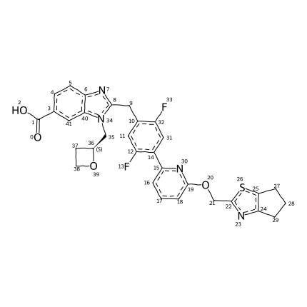 O=C(O)c1ccc2nc(Cc3cc(F)c(-c4cccc(OCc5nc6c(s5)CCC6)n4)cc3F)n(C[C@@H]3CCO3)c2c1